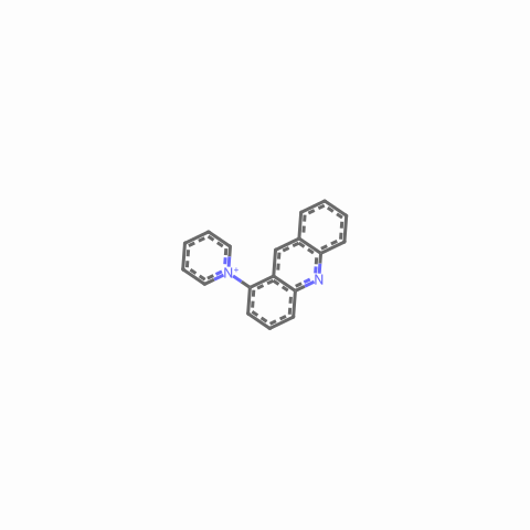 c1cc[n+](-c2cccc3nc4ccccc4cc23)cc1